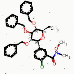 CC[C@H]1O[C@@H](c2ccc(Cl)c(C(=O)N(C)OC)c2)[C@H](OCc2ccccc2)[C@@H](OCc2ccccc2)[C@@H]1OCc1ccccc1